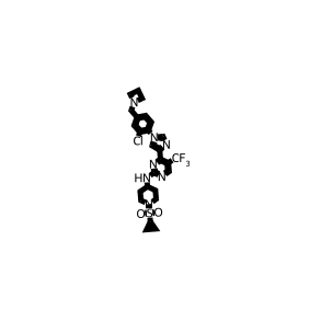 O=S(=O)(C1CC1)N1CCC(Nc2ncc(C(F)(F)F)c(-c3cn(-c4ccc(CN5CCC5)cc4Cl)cn3)n2)CC1